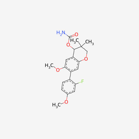 COc1ccc(-c2cc3c(cc2OC)C(OC(N)=O)C(C)(C)CO3)c(F)c1